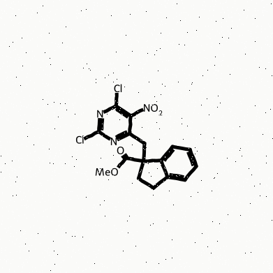 COC(=O)C1(Cc2nc(Cl)nc(Cl)c2[N+](=O)[O-])CCc2ccccc21